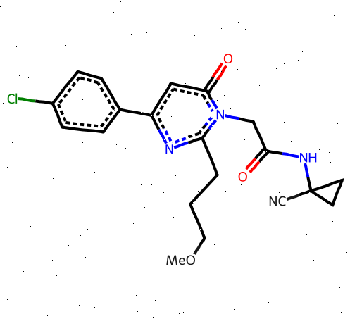 COCCCc1nc(-c2ccc(Cl)cc2)cc(=O)n1CC(=O)NC1(C#N)CC1